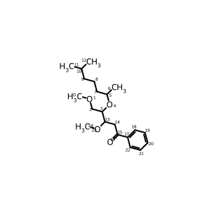 COCC(OC(C)CCCC(C)C)C(CC(=O)c1ccccc1)OC